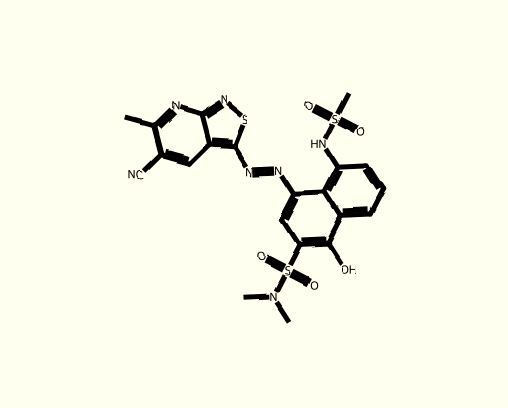 Cc1nc2nsc(/N=N/c3cc(S(=O)(=O)N(C)C)c(O)c4cccc(NS(C)(=O)=O)c34)c2cc1C#N